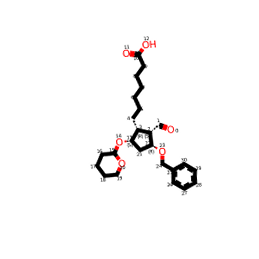 O=C[C@H]1[C@@H](CCCCCCC(=O)O)[C@@H](OC2CCCCO2)C[C@H]1OCc1ccccc1